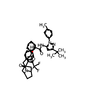 Cc1ccc(-n2nc(C(C)(C)C)cc2NC(=O)Nc2ccc(CC3CC4CCC(C3)N4C(=O)c3nc(-c4ccccc4)oc3C(F)(F)F)cc2)cc1